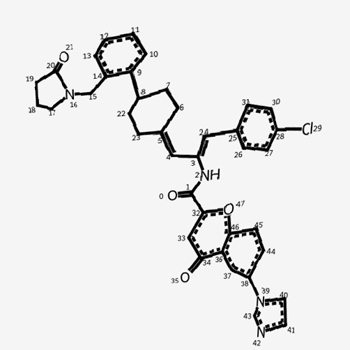 O=C(N/C(C=C1CCC(c2ccccc2CN2CCCC2=O)CC1)=C\c1ccc(Cl)cc1)c1cc(=O)c2cc(-n3ccnc3)ccc2o1